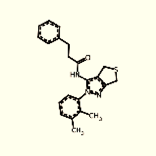 Cc1cccc(-n2nc3c(c2NC(=O)CCc2ccccc2)CSC3)c1C